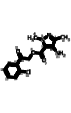 Cc1nn(C)c(C(=O)OCC(=O)c2ccccc2Cl)c1N